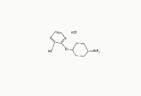 Cl.N#Cc1cccnc1OC1CCC(N)CC1